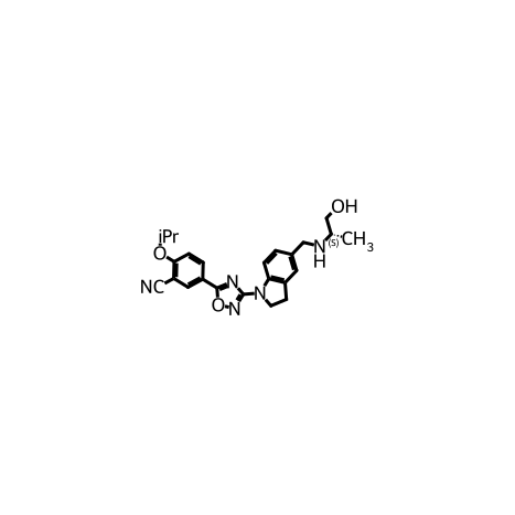 CC(C)Oc1ccc(-c2nc(N3CCc4cc(CN[C@@H](C)CO)ccc43)no2)cc1C#N